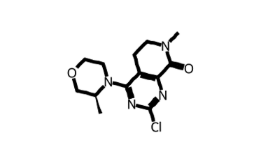 C[C@H]1COCCN1c1nc(Cl)nc2c1CCN(C)C2=O